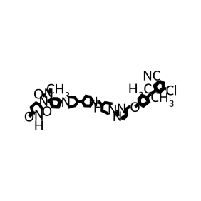 Cn1c(=O)n(C2CCC(=O)NC2=O)c2ccc(N3CCC(C4CCN(CC5(F)CCN(c6nccc(COc7ccc(C(C)(C)c8cc(Cl)cc(C#N)c8)cc7)n6)CC5)CC4)CC3)cc21